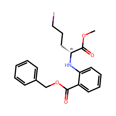 COC(=O)[C@@H](CCCI)Nc1ccccc1C(=O)OCc1ccccc1